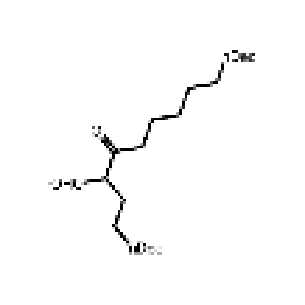 CCCCCCCCCCCCCCCC(=O)C([C]=O)CCCCCCCCCCCC